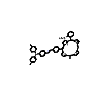 COc1ccccc1-c1c2nc(c(-c3ccc(/C=C/c4ccc(N(c5ccc(C)cc5)c5ccc(C)cc5)cc4)cc3)c3ccc([nH]3)c(C)c3nc(cc4ccc1[nH]4)C=C3)C=C2